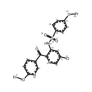 CCOc1ccc(C(=O)c2ncc(Cl)cc2NS(=O)(=O)c2ccc(OC(C)C)cc2)cn1